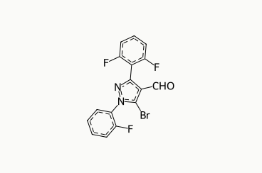 O=Cc1c(-c2c(F)cccc2F)nn(-c2ccccc2F)c1Br